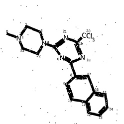 CN1CCN(c2nc(-c3ccc4ccccc4c3)nc(C(Cl)(Cl)Cl)n2)CC1